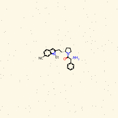 CCn1c(CC[C@@H]2CCCN2C(=O)[C@H](N)c2ccccc2)cc2ccc(C#N)cc21